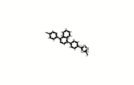 Cc1ccc(-c2ccc(-c3ccc(-c4nnc(C)o4)cc3)c3ccccc23)cc1